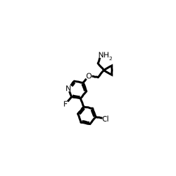 NCC1(COc2cnc(F)c(-c3cccc(Cl)c3)c2)CC1